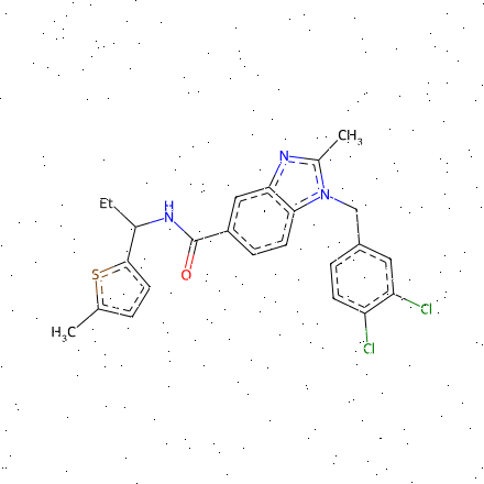 CCC(NC(=O)c1ccc2c(c1)nc(C)n2Cc1ccc(Cl)c(Cl)c1)c1ccc(C)s1